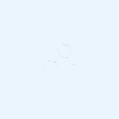 CC/[C]=C\C(=O)c1ccccc1OC